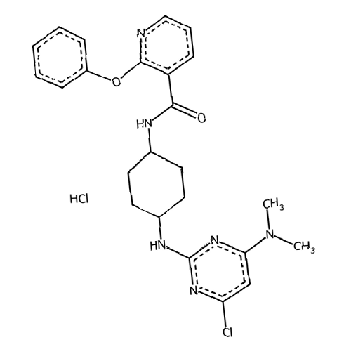 CN(C)c1cc(Cl)nc(NC2CCC(NC(=O)c3cccnc3Oc3ccccc3)CC2)n1.Cl